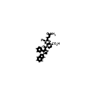 CC(C)N(C[C@@H]1CN(C(=O)O)CCN1C(=O)c1ncn(C2Cc3ccccc3C2)c1-c1ccccc1)C(=O)CCC(N)=O